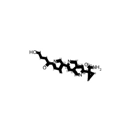 Cc1cc(C(=O)CCCO)ncc1-c1cc2cnc(C3(C(N)=O)CC3)cc2cn1